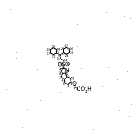 O=C(O)COC1=CC=C2C=c3sc(S(=O)(=O)CCC(c4ccccc4)c4ccccc4)nc3=C2C1